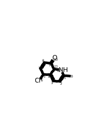 CC1=CC=C2C(Cl)C=CC(=O)C2N1